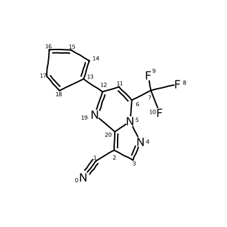 N#Cc1cnn2c(C(F)(F)F)cc(-c3ccccc3)nc12